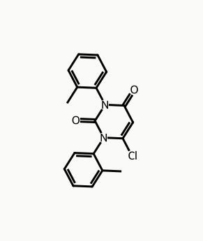 Cc1ccccc1-n1c(Cl)cc(=O)n(-c2ccccc2C)c1=O